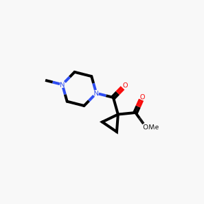 COC(=O)C1(C(=O)N2CCN(C)CC2)CC1